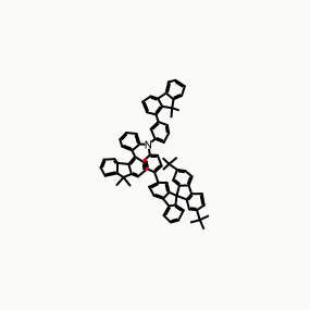 CC(C)(C)c1ccc2c(c1)C1(c3ccccc3-c3ccc(-c4ccc(N(c5cccc(-c6cccc7c6C(C)(C)c6ccccc6-7)c5)c5ccccc5-c5cccc6c5-c5ccccc5C6(C)C)cc4)cc31)c1cc(C(C)(C)C)ccc1-2